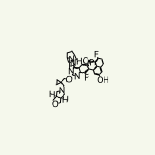 C#Cc1c(F)ccc2cc(O)cc(-c3c(C(C)C)cc4c(N5CC6CCC(C5)N6)nc(OCC5(CN6C[C@H]7COC[C@H]7C6)CC5)nc4c3F)c12